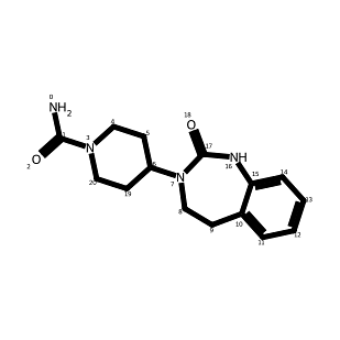 NC(=O)N1CCC(N2CCc3ccccc3NC2=O)CC1